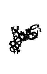 Cn1nc(-c2nc(C(F)(F)F)c(Oc3ccc(Cl)c(C(F)(F)F)c3)c(=O)[nH]2)c2cccnc21